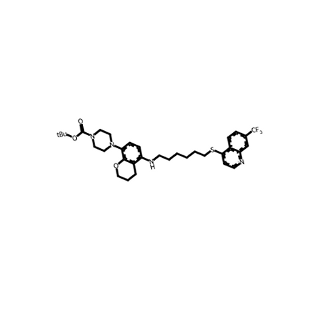 CC(C)(C)OC(=O)N1CCN(c2ccc(NCCCCCCSc3ccnc4cc(C(F)(F)F)ccc34)c3c2OCCC3)CC1